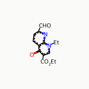 CCOC(=O)c1cn(CC)c2nc(C=O)ccc2c1=O